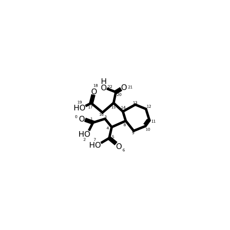 O=C(O)CC(C(=O)O)C1CC=CCCC1C(CC(=O)O)C(=O)O